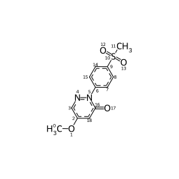 COc1cnn(-c2ccc(S(C)(=O)=O)cc2)c(=O)c1